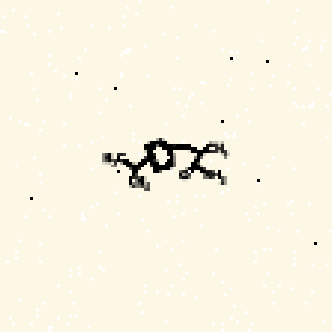 CC(Cc1ccc(C(C)C)cc1)C(N)=O